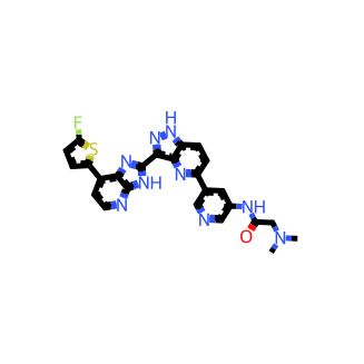 CN(C)CC(=O)Nc1cncc(-c2ccc3[nH]nc(-c4nc5c(-c6ccc(F)s6)ccnc5[nH]4)c3n2)c1